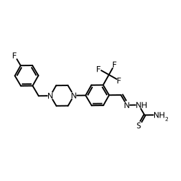 NC(=S)N/N=C/c1ccc(N2CCN(Cc3ccc(F)cc3)CC2)cc1C(F)(F)F